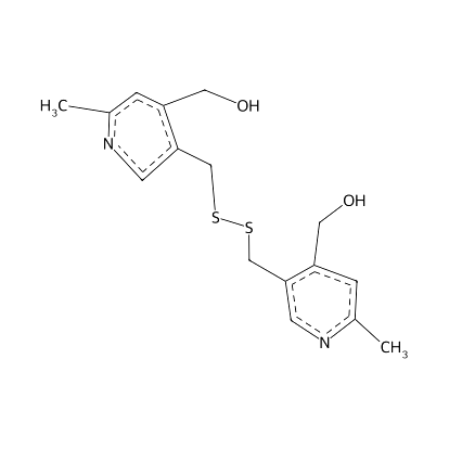 Cc1cc(CO)c(CSSCc2cnc(C)cc2CO)cn1